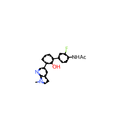 CC(=O)Nc1ccc(-c2cccc(-c3cnc4c(ccn4C)c3)c2O)cc1F